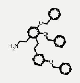 NCCc1ccc(OCc2ccccc2)c(OCc2ccccc2)c1CCc1cccc(OCc2ccccc2)c1